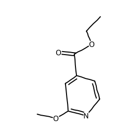 CCOC(=O)c1ccnc(OC)c1